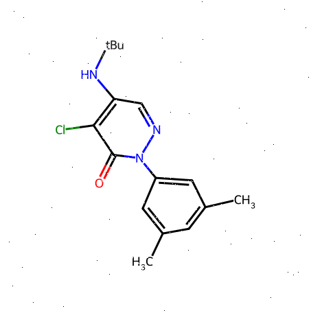 Cc1cc(C)cc(-n2ncc(NC(C)(C)C)c(Cl)c2=O)c1